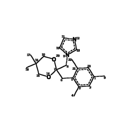 Cc1cc(C)c(CC2(Cn3ccnc3)OCC(C)(C)CO2)c(C)c1